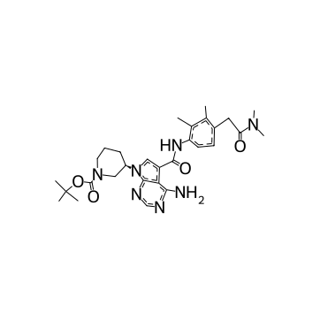 Cc1c(CC(=O)N(C)C)ccc(NC(=O)c2cn([C@@H]3CCCN(C(=O)OC(C)(C)C)C3)c3ncnc(N)c23)c1C